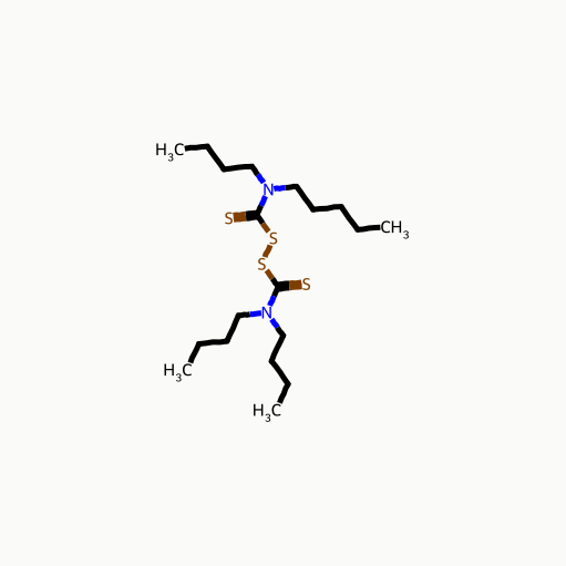 CCCCCN(CCCC)C(=S)SSC(=S)N(CCCC)CCCC